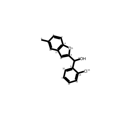 Cc1ccc2oc(C(O)c3ccccc3Cl)cc2c1